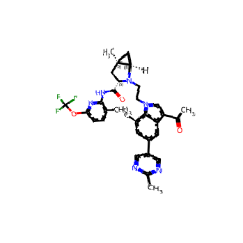 CC(=O)c1cn(CCN2[C@H](C(=O)Nc3nc(OC(F)(F)F)ccc3C)C[C@@]3(C)C[C@@H]23)c2c(C)cc(-c3cnc(C)nc3)cc12